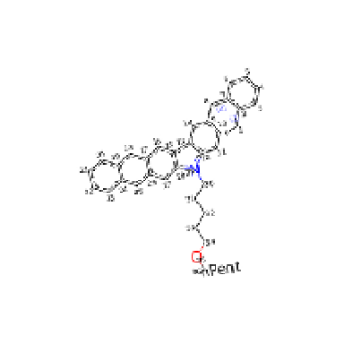 C/C=c1/cccc/c1=C/c1ccc2c(c1)c1cc3cc4ccccc4cc3cc1n2CCCCCOCCCCC